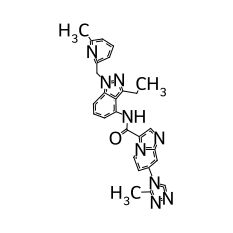 CCc1nn(Cc2cccc(C)n2)c2cccc(NC(=O)c3cnc4cc(-n5cnnc5C)ccn34)c12